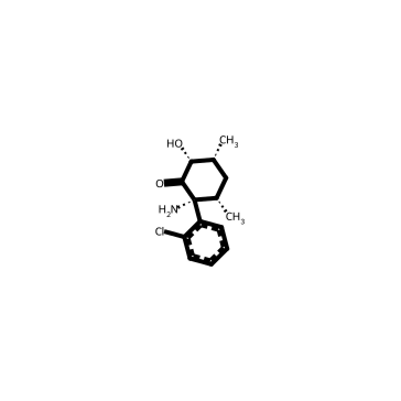 C[C@@H]1C[C@H](C)[C@@](N)(c2ccccc2Cl)C(=O)[C@@H]1O